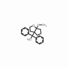 COC12CCCC1(C(O)(c1ccccc1)c1ccccc1)CCO2